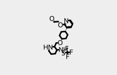 O=CCOc1ncccc1[C@H]1CC[C@@H](OCC2NCCCC2NSC(F)(F)F)CC1